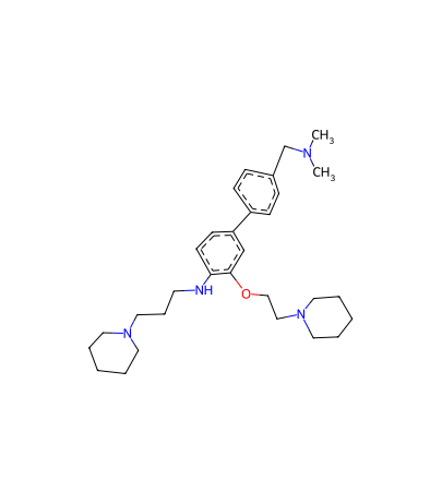 CN(C)Cc1ccc(-c2ccc(NCCCN3CCCCC3)c(OCCN3CCCCC3)c2)cc1